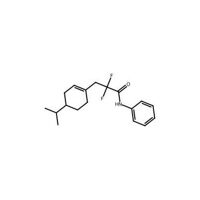 CC(C)C1CC=C(CC(F)(F)C(=O)Nc2ccccc2)CC1